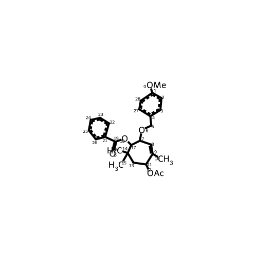 COc1ccc(COC2C=C(C)C(OC(C)=O)CC(C)(C)C2OC(=O)c2ccccc2)cc1